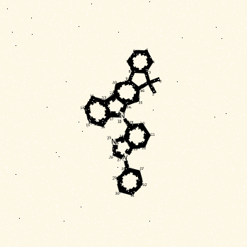 CC1(C)c2ccccc2-c2cc3c4ccccc4n(-c4cccc5c4ncn5-c4ccccc4)c3cc21